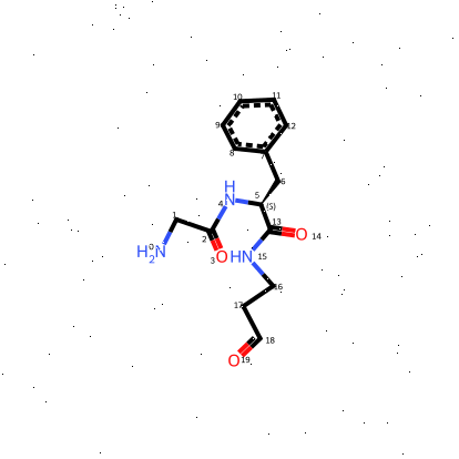 NCC(=O)N[C@@H](Cc1ccccc1)C(=O)NCCC=O